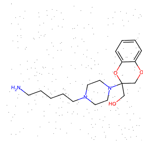 NCCCCCN1CCN(C2(CO)COc3ccccc3O2)CC1